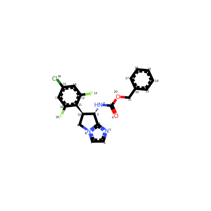 O=C(N[C@@H]1c2nccn2C[C@H]1c1c(F)cc(Cl)cc1F)OCc1ccccc1